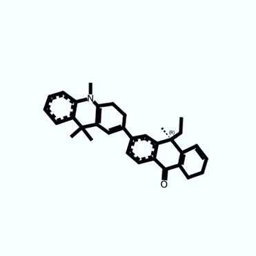 CC[C@@]1(C)C2=C(CCC=C2)C(=O)c2ccc(C3=CC4=C(CC3)N(C)c3ccccc3C4(C)C)cc21